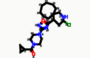 O=C(C1CC1)N1CCN(c2noc(C3CC(Cl)NCC34CCCCCCC4)n2)CC1